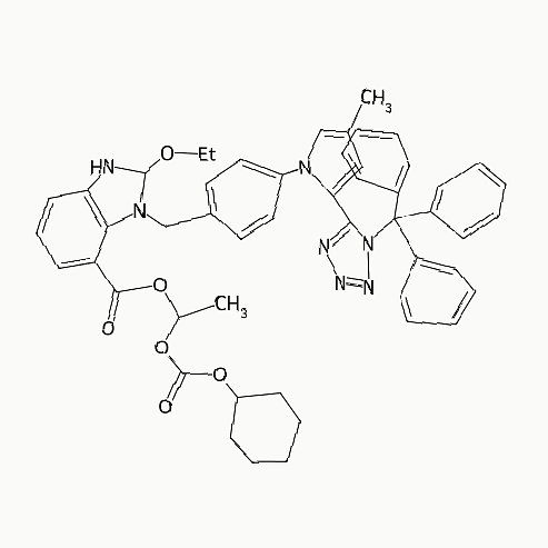 CCOC1Nc2cccc(C(=O)OC(C)OC(=O)OC3CCCCC3)c2N1Cc1ccc(-n2cc(C)cc2-c2nnnn2C(c2ccccc2)(c2ccccc2)c2ccccc2)cc1